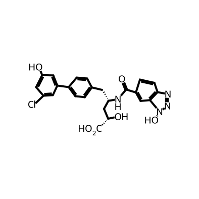 O=C(N[C@@H](Cc1ccc(-c2cc(O)cc(Cl)c2)cc1)C[C@H](O)C(=O)O)c1ccc2nnn(O)c2c1